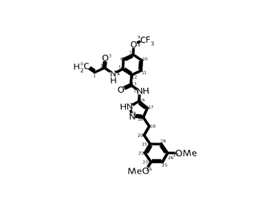 C=CC(=O)Nc1cc(OC(F)(F)F)ccc1C(=O)Nc1cc(CCc2cc(OC)cc(OC)c2)n[nH]1